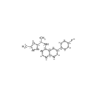 Cc1nnc(C(C)Nc2ncnc3ncc(-c4ccc(F)cc4)cc23)o1